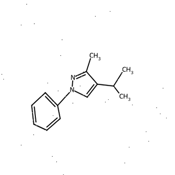 Cc1nn(-c2ccccc2)cc1C(C)C